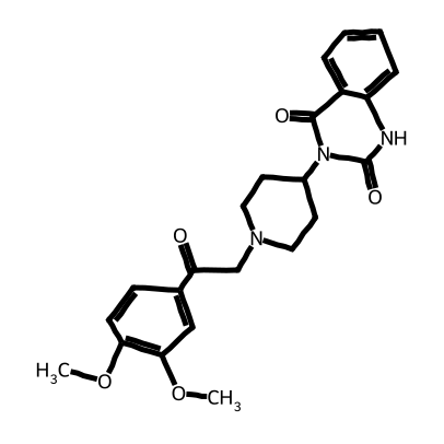 COc1ccc(C(=O)CN2CCC(n3c(=O)[nH]c4ccccc4c3=O)CC2)cc1OC